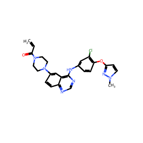 C=CC(=O)N1CCN(c2ccc3ncnc(Nc4ccc(Oc5ccn(C)n5)c(Cl)c4)c3c2)CC1